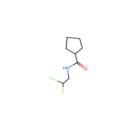 O=C(NCC(F)F)C1CCCC1